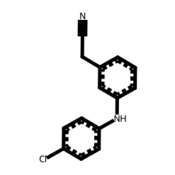 N#CCc1cccc(Nc2ccc(Cl)cc2)c1